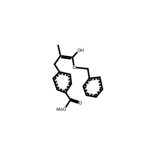 COC(=O)c1ccc(CC(C)=C(O)OCc2ccccc2)cc1